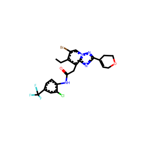 CCc1c(Br)cn2nc(C3=CCOCC3)nc2c1CC(=O)Nc1ccc(C(F)(F)F)cc1Cl